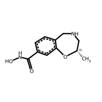 C[C@H]1CNCc2ccc(C(=O)NO)cc2O1